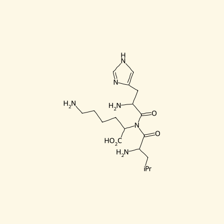 CC(C)CC(N)C(=O)N(C(=O)C(N)Cc1c[nH]cn1)C(CCCCN)C(=O)O